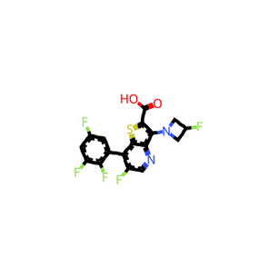 O=C(O)c1sc2c(-c3cc(F)cc(F)c3F)c(F)cnc2c1N1CC(F)C1